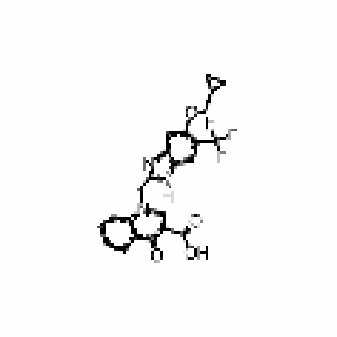 O=C(O)c1cn(Cc2nc3cc(OCC4CC4)c(C(F)(F)F)cc3[nH]2)c2ccccc2c1=O